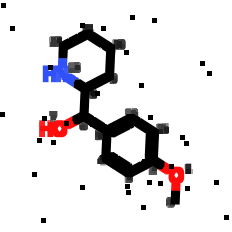 COc1ccc(C(O)C2CCCCN2)cc1